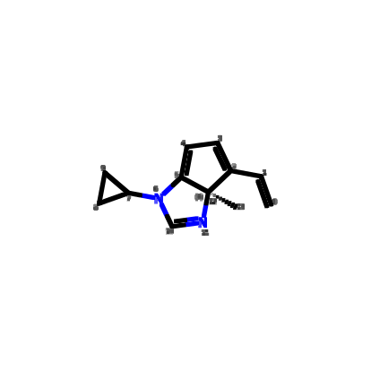 C=CC1=CC=C2N(C3CC3)C=N[C@]12C